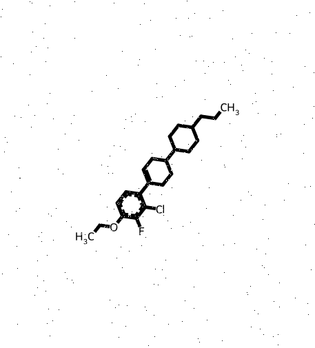 CCCC1CCC(C2CC=C(c3ccc(OCC)c(F)c3Cl)CC2)CC1